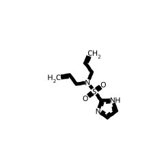 C=CCN(CC=C)S(=O)(=O)c1ncc[nH]1